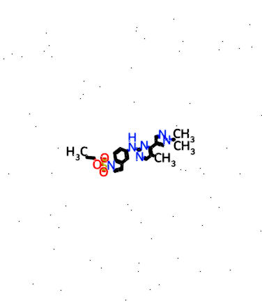 CCCOS(=O)(=O)n1ccc2cc(Nc3ncc(C)c(-c4cnn(C(C)C)c4)n3)ccc21